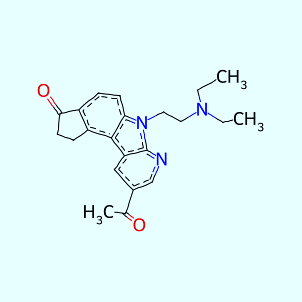 CCN(CC)CCn1c2ccc3c(c2c2cc(C(C)=O)cnc21)CCC3=O